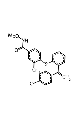 C=C(c1ccc(Cl)cc1)c1ccccc1Sc1ccc(C(=O)NOC)cc1C